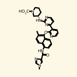 Cc1ccc2c(NC(=O)c3cn(C)cn3)cccc2c1Oc1ncccc1-c1ccnc(N[C@H]2CCCN(C(=O)O)C2)n1